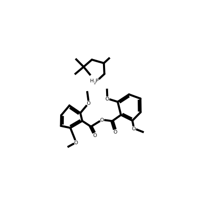 CC(CP)CC(C)(C)C.COc1cccc(OC)c1C(=O)OC(=O)c1c(OC)cccc1OC